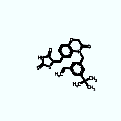 C=Cc1cc(CN2C(=O)COc3ccc(C=C4SC(=S)NC4=O)cc32)cc(C(C)(C)C)c1